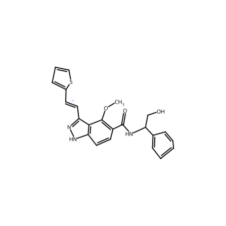 COc1c(C(=O)NC(CO)c2ccccc2)ccc2[nH]nc(/C=C/c3cccs3)c12